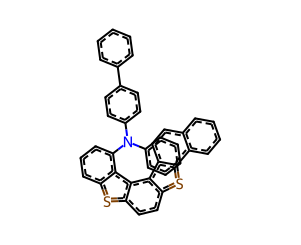 c1ccc(-c2ccc(N(c3ccccc3)c3cccc4sc5ccc6sc7c8ccccc8ccc7c6c5c34)cc2)cc1